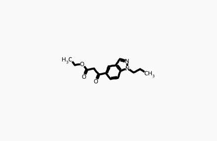 CCCn1ncc2cc(C(=O)CC(=O)OCC)ccc21